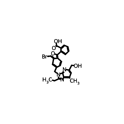 CCc1nc2c(C)cc(CO)nc2n1Cc1ccc2c(-c3ccccc3C(=O)O)oc(Br)c2c1